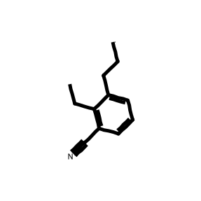 [CH2]CCc1cccc(C#N)c1CC